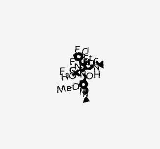 CCOc1c(CC(=O)NC2(C)CC2)cc([C@@](O)(CNC(=O)c2cc(OC)c3nn(C4CC4)cc3c2)C(F)(F)F)nc1-c1cc(Cl)c(F)cc1F